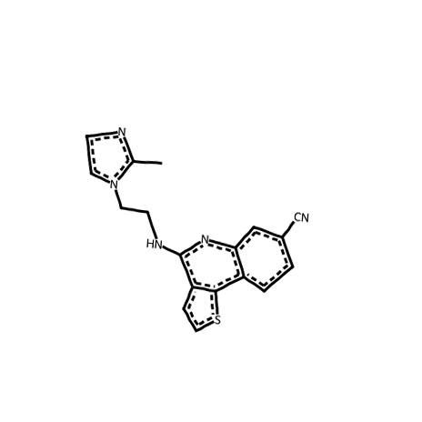 Cc1nccn1CCNc1nc2cc(C#N)ccc2c2sccc12